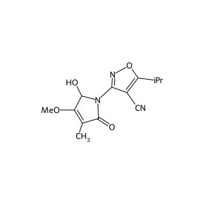 COC1=C(C)C(=O)N(c2noc(C(C)C)c2C#N)C1O